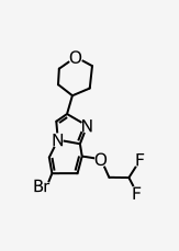 FC(F)COc1cc(Br)cn2cc(C3CCOCC3)nc12